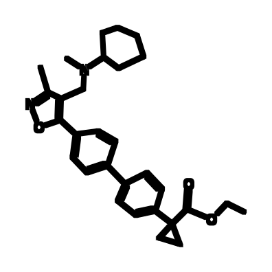 CCOC(=O)C1(c2ccc(-c3ccc(-c4onc(C)c4CN(C)C4CCCCC4)cc3)cc2)CC1